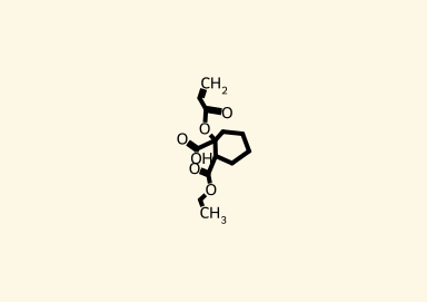 C=CC(=O)OC1(C(=O)O)CCCCC1C(=O)OCC